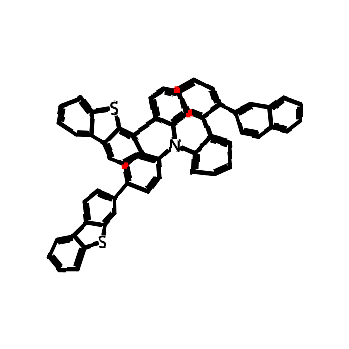 c1ccc(-c2ccccc2N(c2ccc(-c3ccc4c(c3)sc3ccccc34)cc2)c2ccccc2-c2cccc3c2sc2ccccc23)c(-c2ccc3ccccc3c2)c1